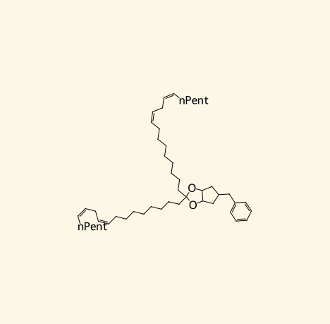 CCCCC/C=C\C/C=C\CCCCCCCCC1(CCCCCCCC/C=C\C/C=C\CCCCC)OC2CC(Cc3ccccc3)CC2O1